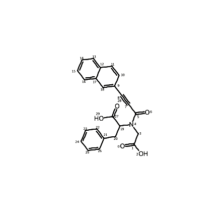 O=C(O)CN(C(=O)C#Cc1ccc2ccccc2c1)C(Cc1ccccc1)C(=O)O